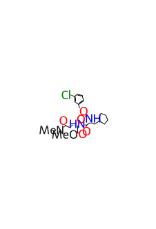 CNC(=O)CC[C@H](NC(=O)[C@H](CC1CCCCC1)NC(=O)OCc1cccc(Cl)c1)C(=O)OC